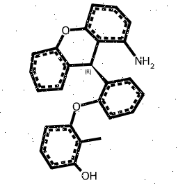 Cc1c(O)cccc1Oc1ccccc1[C@H]1c2ccccc2Oc2cccc(N)c21